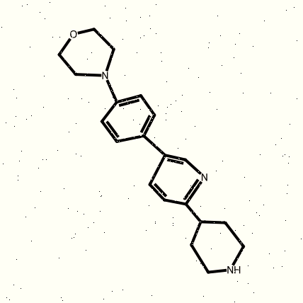 c1cc(N2CCOCC2)ccc1-c1ccc(C2CCNCC2)nc1